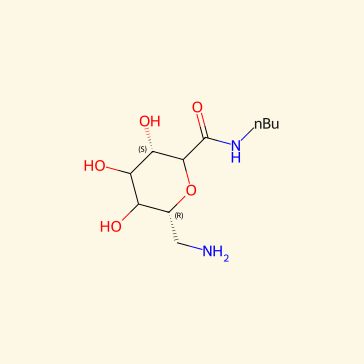 CCCCNC(=O)C1O[C@H](CN)C(O)C(O)[C@@H]1O